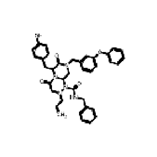 C=CCN1CC(=O)N2C(Cc3ccc(O)cc3)C(=O)N(Cc3cccc(Oc4ccccc4)c3)CC2N1C(=O)NCc1ccccc1